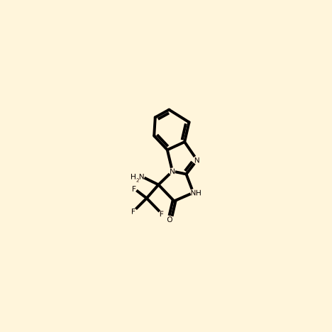 NC1(C(F)(F)F)C(=O)Nc2nc3ccccc3n21